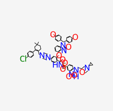 COc1ccc(C(c2ccc(OC)cc2)n2c(=O)n(C)c3c(Oc4cc(N5CCN(CC6=C(c7ccc(Cl)cc7)CC(C)(C)CC6)CC5)ccc4C(=O)NS(=O)(=O)c4ccc(NCC5CN(C6CC6)CCO5)c([N+](=O)[O-])c4)cccc32)cc1